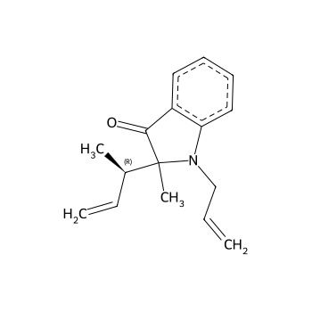 C=CCN1c2ccccc2C(=O)C1(C)[C@H](C)C=C